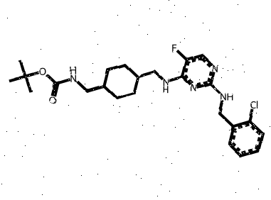 CC(C)(C)OC(=O)NCC1CCC(CNc2nc(NCc3ccccc3Cl)ncc2F)CC1